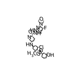 Cc1cc(Nc2ccc(C(=O)NNc3ncc(F)c(N4CCOCC4)n3)nc2)cc(Cl)c1S(=O)(=O)c1cccc(O)c1